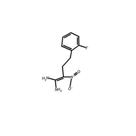 NC(N)=C(CCc1ccccc1F)[N+](=O)[O-]